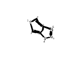 c1scc2snnc12